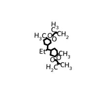 C=C(C)C(=O)OC1(C)CCC(C(CC)C2CCC(C)(OC(=O)C(=C)C)CC2)CC1